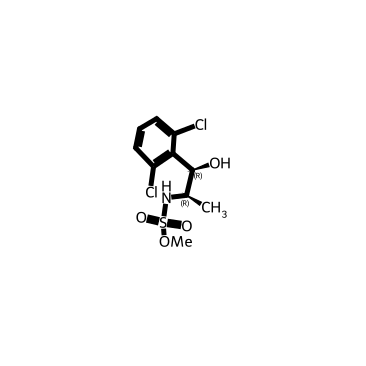 COS(=O)(=O)N[C@H](C)[C@H](O)c1c(Cl)cccc1Cl